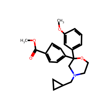 COC(=O)c1ccc(C2(c3cccc(OC)c3)CN(CC3CC3)CCO2)cc1